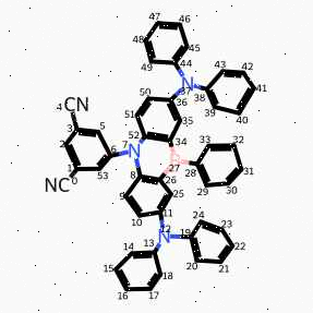 N#Cc1cc(C#N)cc(N2c3ccc(N(c4ccccc4)c4ccccc4)cc3B(c3ccccc3)c3cc(N(c4ccccc4)c4ccccc4)ccc32)c1